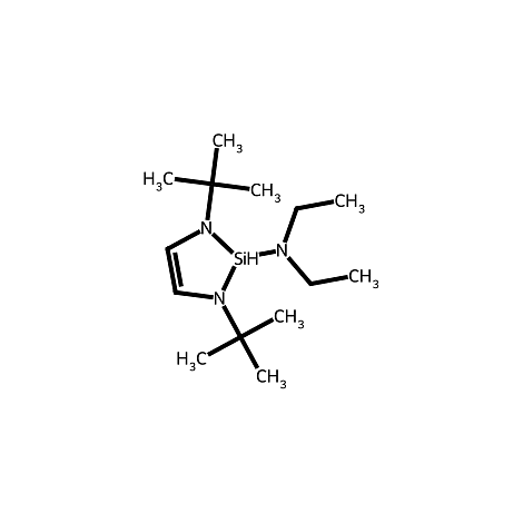 CCN(CC)[SiH]1N(C(C)(C)C)C=CN1C(C)(C)C